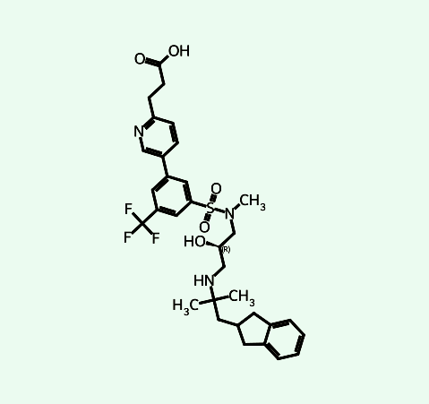 CN(C[C@H](O)CNC(C)(C)CC1Cc2ccccc2C1)S(=O)(=O)c1cc(-c2ccc(CCC(=O)O)nc2)cc(C(F)(F)F)c1